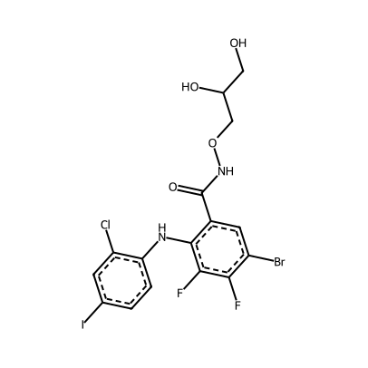 O=C(NOCC(O)CO)c1cc(Br)c(F)c(F)c1Nc1ccc(I)cc1Cl